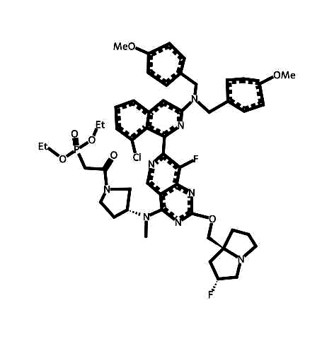 CCOP(=O)(CC(=O)N1CC[C@@H](N(C)c2nc(OC[C@@]34CCCN3C[C@H](F)C4)nc3c(F)c(-c4nc(N(Cc5ccc(OC)cc5)Cc5ccc(OC)cc5)cc5cccc(Cl)c45)ncc23)C1)OCC